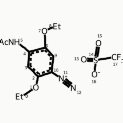 CCOc1cc(NC(C)=O)c(OCC)cc1[N+]#N.O=S(=O)([O-])C(F)(F)F